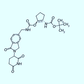 CC(C)(C)OC(=O)N[C@H]1CCC[C@@H]1OC(=O)NCc1ccc2c(c1)CN(C1CCC(=O)NC1=O)C2=O